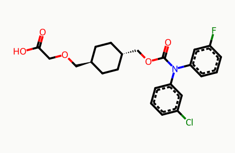 O=C(O)COC[C@H]1CC[C@H](COC(=O)N(c2cccc(F)c2)c2cccc(Cl)c2)CC1